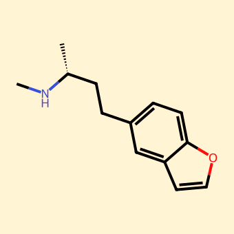 CN[C@H](C)CCc1ccc2occc2c1